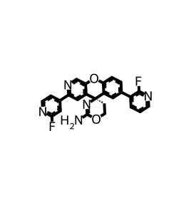 NC1=N[C@]2(CCO1)c1cc(-c3cccnc3F)ccc1Oc1cnc(-c3ccnc(F)c3)cc12